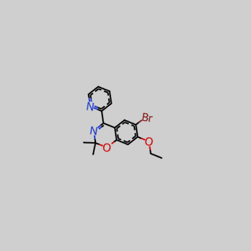 CCOc1cc2c(cc1Br)C(c1ccccn1)=NC(C)(C)O2